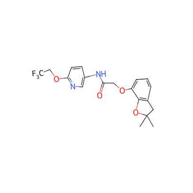 CC1(C)Cc2cccc(OCC(=O)Nc3ccc(OCC(F)(F)F)nc3)c2O1